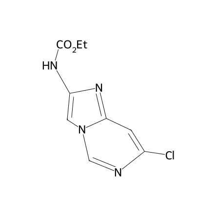 CCOC(=O)Nc1cn2cnc(Cl)cc2n1